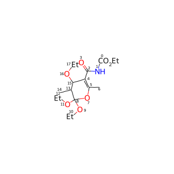 CCOC(=O)NC(=O)C1=C(C)OC(OCC)(OCC)C(C)C1OCC